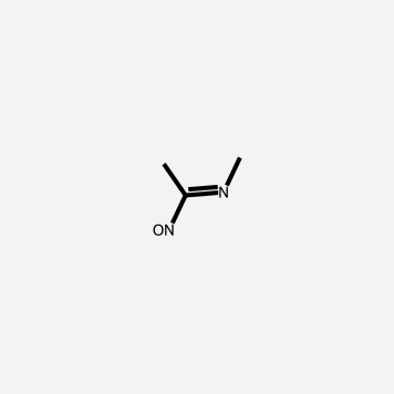 C/N=C(\C)N=O